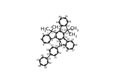 CC1(C)c2ccccc2-c2c1c1c(c3c4ccccc4n(-c4ccc(-c5ccccc5)cc4)c23)C(C)(C)c2ccccc2-1